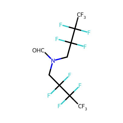 O=CN(CC(F)(F)C(F)(F)C(F)(F)F)CC(F)(F)C(F)(F)C(F)(F)F